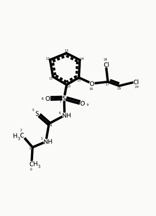 CC(C)NC(=S)NS(=O)(=O)c1ccccc1O/C(Cl)=C/Cl